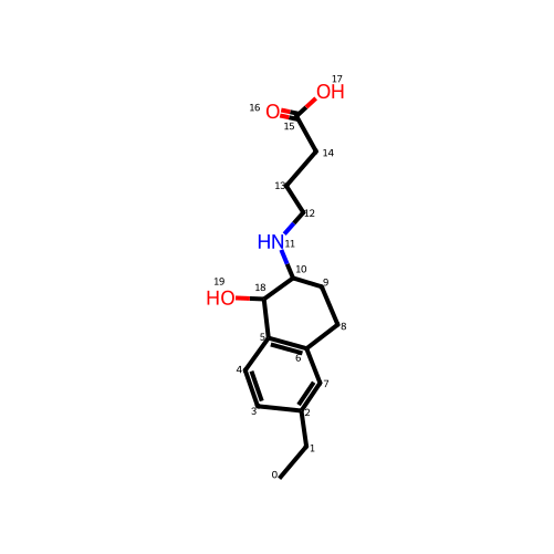 CCc1ccc2c(c1)CCC(NCCCC(=O)O)C2O